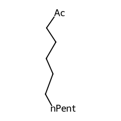 CCCCCCCCCCC(C)=O